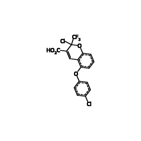 O=C(O)C1=Cc2c(Oc3ccc(Cl)cc3)cccc2OC1(Cl)C(F)(F)F